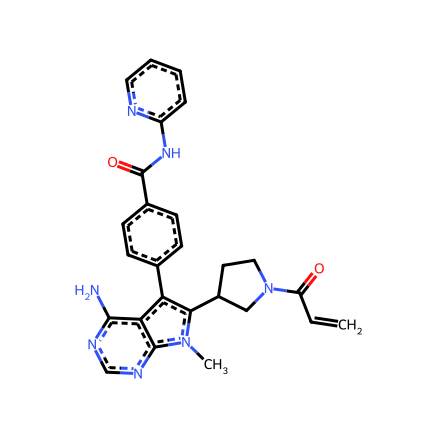 C=CC(=O)N1CCC(c2c(-c3ccc(C(=O)Nc4ccccn4)cc3)c3c(N)ncnc3n2C)C1